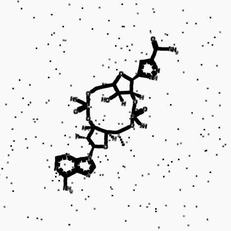 C[C@H]1OP(=O)(S)O[C@@H]2[C@H](O)[C@@H](COP(=O)(S)O[C@H]3[C@@H](F)[C@H](n4cnc5c(N)ncnc54)O[C@@H]31)O[C@H]2c1cc(C(N)=O)n[nH]1